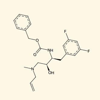 C=CCN(C)C[C@H](O)[C@H](Cc1cc(F)cc(F)c1)NC(=O)OCc1ccccc1